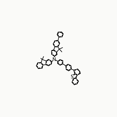 CC1(C)c2ccccc2-c2ccc(N(c3ccc(-c4ccc(-c5cccc6c5sc5ccccc56)cc4)cc3)c3ccc4c(c3)C(C)(C)c3cc(-c5ccccc5)ccc3-4)cc21